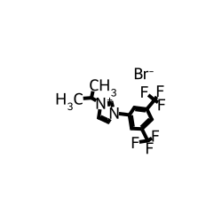 CC(C)[n+]1ccn(-c2cc(C(F)(F)F)cc(C(F)(F)F)c2)c1.[Br-]